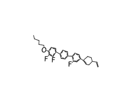 C=CC1CC=C(c2ccc(-c3ccc(-c4ccc(OCCCCC)c(F)c4F)cc3)c(F)c2)CC1